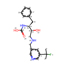 CC(C)(F)c1cncc(CNC[C@H](O)[C@H](Cc2ccccc2)NC(=O)O)c1